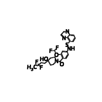 CC(F)(F)CCC1(O)CCN(C(=O)c2ccc(NSc3cccc4nccnc34)cc2OC(F)F)CC1